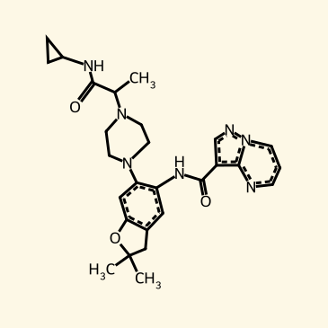 CC(C(=O)NC1CC1)N1CCN(c2cc3c(cc2NC(=O)c2cnn4cccnc24)CC(C)(C)O3)CC1